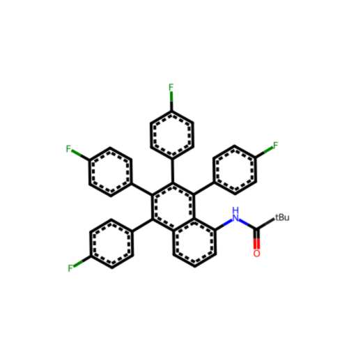 CC(C)(C)C(=O)Nc1cccc2c(-c3ccc(F)cc3)c(-c3ccc(F)cc3)c(-c3ccc(F)cc3)c(-c3ccc(F)cc3)c12